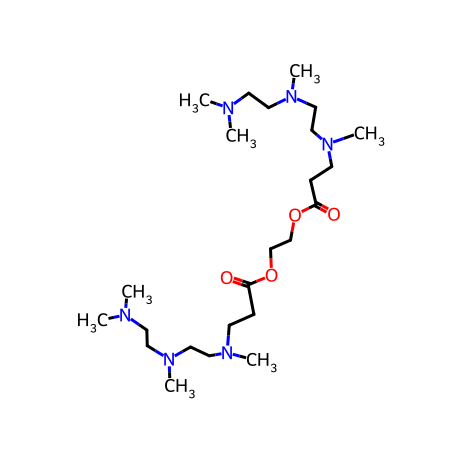 CN(C)CCN(C)CCN(C)CCC(=O)OCCOC(=O)CCN(C)CCN(C)CCN(C)C